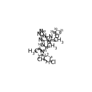 CC[C@H](c1ccc(Cl)cc1)N1C[C@H](C)N(c2nc3nncn3c3c2nc(C)n3C[C@@H]2CCCO2)C[C@H]1C